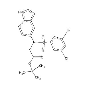 CC(C)(C)OC(=O)CN(c1ccc2[nH]ccc2c1)S(=O)(=O)c1cc(Cl)cc(Br)c1